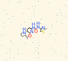 Cc1nc(NC(=O)Nc2cccc(OC(C)C3CCCN3)n2)cs1